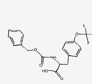 O=C(NC(Cc1ccc(OC(F)(F)F)cc1)C(=O)O)OCc1ccccc1